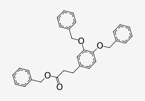 O=C(CCc1ccc(OCc2ccccc2)c(OCc2ccccc2)c1)OCc1ccccc1